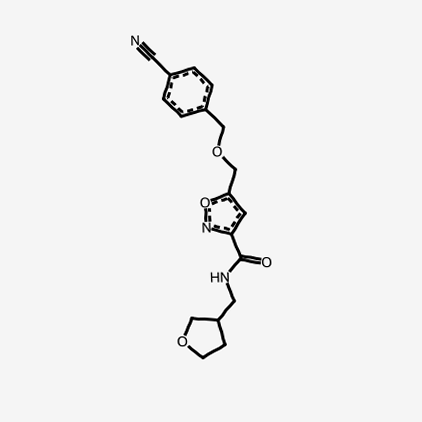 N#Cc1ccc(COCc2cc(C(=O)NCC3CCOC3)no2)cc1